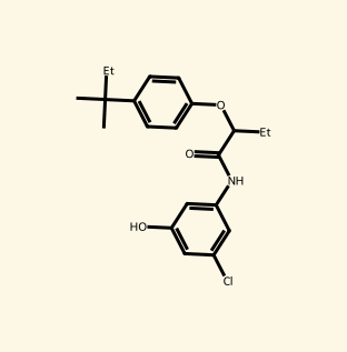 CCC(Oc1ccc(C(C)(C)CC)cc1)C(=O)Nc1cc(O)cc(Cl)c1